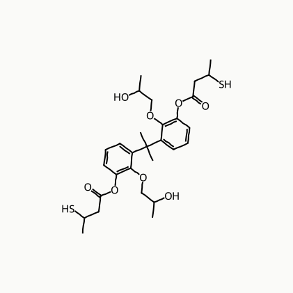 CC(O)COc1c(OC(=O)CC(C)S)cccc1C(C)(C)c1cccc(OC(=O)CC(C)S)c1OCC(C)O